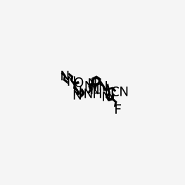 CN1CCN(C(=O)Cn2cc(Nc3nc4c(N5CC(CC#N)(n6cc(CCF)cn6)C5)cccn4n3)cn2)CC1